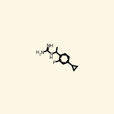 CC(NC(=N)N)c1ccc(C2CC2)cc1F